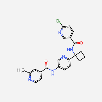 Cc1cc(C(=O)Nc2ccc(C3(NC(=O)c4ccc(Cl)nc4)CCC3)nc2)ccn1